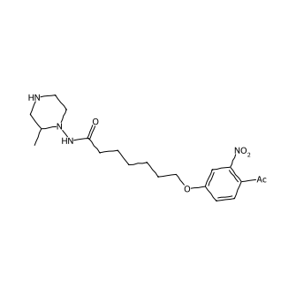 CC(=O)c1ccc(OCCCCCCC(=O)NN2CCNCC2C)cc1[N+](=O)[O-]